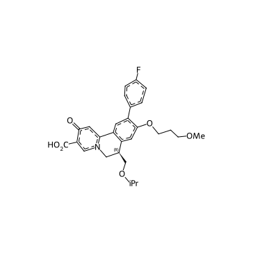 COCCCOc1cc2c(cc1-c1ccc(F)cc1)-c1cc(=O)c(C(=O)O)cn1C[C@@H]2COC(C)C